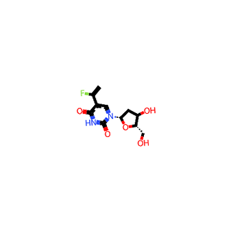 C=C(F)c1cn([C@@H]2CC(O)[C@H](CO)O2)c(=O)[nH]c1=O